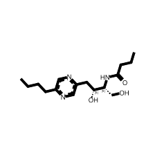 CCCCc1cnc(C[C@@H](O)[C@@H](CO)NC(=O)CCC)cn1